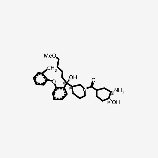 COCCCC[C@@](O)(c1ccccc1Oc1ccccc1C)[C@@H]1CCCN(C(=O)C2CC[C@@H](O)[C@@H](N)C2)C1